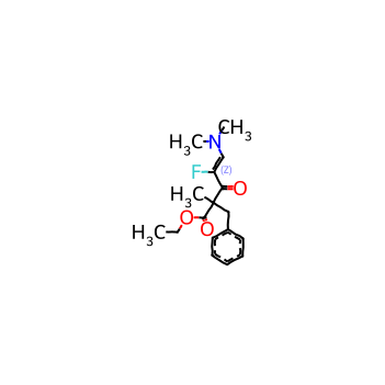 CCOC(=O)C(C)(Cc1ccccc1)C(=O)/C(F)=C/N(C)C